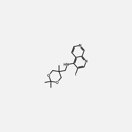 CC1(CNc2c(I)cnc3cnccc23)COC(C)(C)OC1